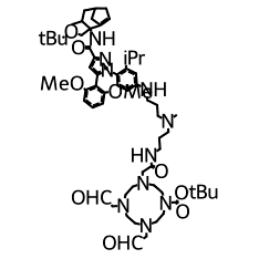 COc1cccc(OC)c1-c1cc(C(=O)NC2(COC(C)(C)C)C3=CCC(C3)CC2C)nn1-c1ccc(NCCCN(C)CCCNC(=O)CN2CCN(CC=O)CCN(CC=O)CCN(C(=O)OC(C)(C)C)CC2)cc1C(C)C